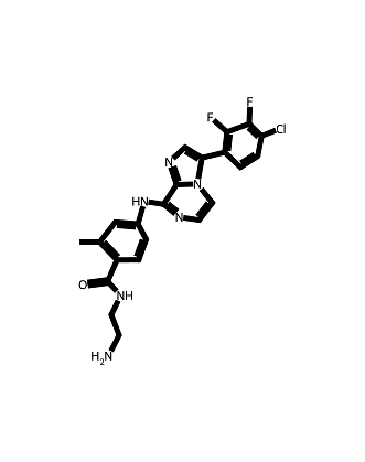 Cc1cc(Nc2nccn3c(-c4ccc(Cl)c(F)c4F)cnc23)ccc1C(=O)NCCN